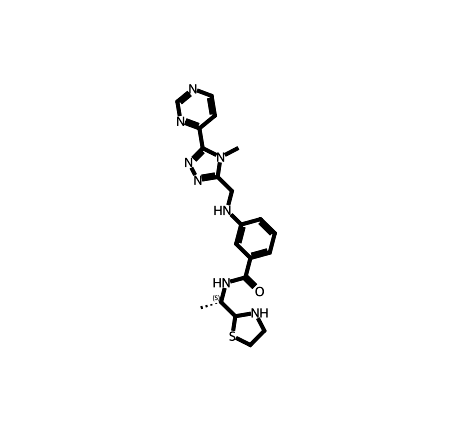 C[C@H](NC(=O)c1cccc(NCc2nnc(-c3ccncn3)n2C)c1)C1NCCS1